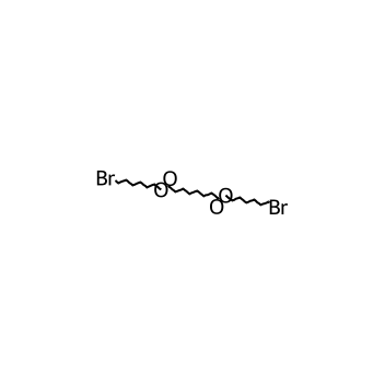 O=C(CCCCCCC(=O)OCCCCCCBr)OCCCCCCBr